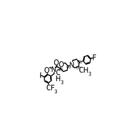 C[C@@H]1CN([C@@H]2CC[C@](C)(C(=O)N3COc4c(I)cc(C(F)(F)F)cc4C3)OC2)CC[C@H]1c1ccc(F)cc1